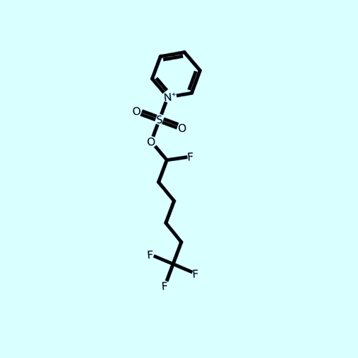 O=S(=O)(OC(F)CCCCC(F)(F)F)[n+]1ccccc1